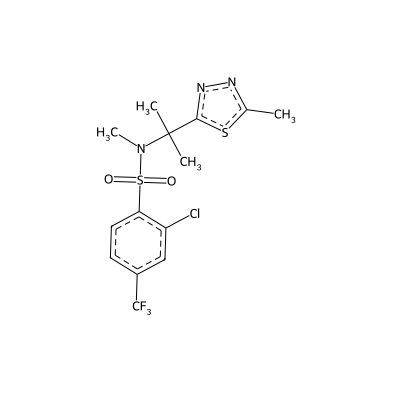 Cc1nnc(C(C)(C)N(C)S(=O)(=O)c2ccc(C(F)(F)F)cc2Cl)s1